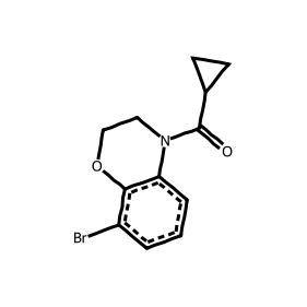 O=C(C1CC1)N1CCOc2c(Br)cccc21